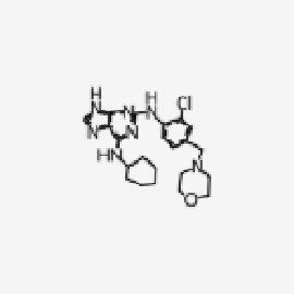 Clc1cc(CN2CCOCC2)ccc1Nc1nc(NC2CCCCC2)c2nc[nH]c2n1